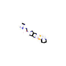 C=CN(CC(=O)N1CC2=C(C1)CN(S(=O)(=O)c1ccccn1)C2)N=C